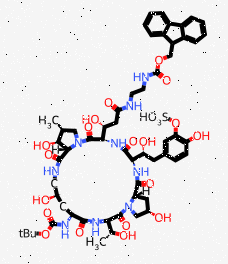 C[C@@H](O)C1NC(=O)[C@@H](NC(=O)OC(C)(C)C)C[C@@H](O)CNC(=O)[C@@H]2[C@@H](O)[C@@H](C)CN2C(=O)[C@H]([C@H](O)CC(=O)NCCNC(=O)OCC2c3ccccc3-c3ccccc32)NC(=O)[C@H]([C@H](O)Cc2ccc(O)c(OS(=O)(=O)O)c2)NC(=O)[C@@H]2C[C@@H](O)CN2C1=O